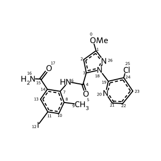 COc1cc(C(=O)Nc2c(C)cc(I)cc2C(N)=O)n(-c2ncccc2Cl)n1